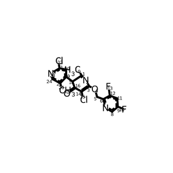 CC1=NC(OCc2ncc(F)cc2F)=C(Cl)C(=O)C1c1cc(Cl)ncc1C